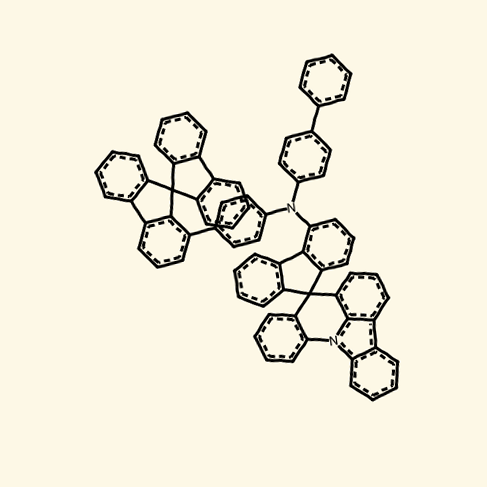 c1ccc(-c2ccc(N(c3ccc(-c4cccc5c4C4(c6ccccc6-c6ccccc64)c4ccccc4-5)cc3)c3cccc4c3-c3ccccc3C43c4ccccc4-n4c5ccccc5c5cccc3c54)cc2)cc1